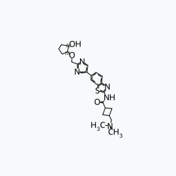 CN(C)CC1CC(C(=O)Nc2nc3ccc(-c4cnc(CO[C@H]5CCC[C@@H]5O)nc4)cc3s2)C1